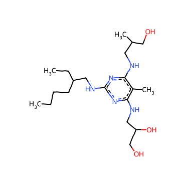 CCCCC(CC)CNc1nc(NCC(C)CO)c(C)c(NCC(O)CO)n1